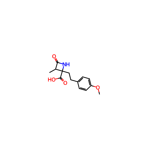 COc1ccc(CCC2(C(=O)O)NC(=O)C2C)cc1